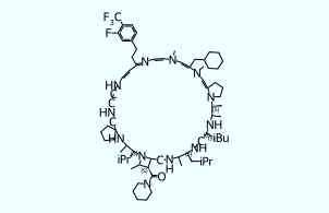 CC[C@H](C)[C@H]1CN[C@@H](CC(C)C)C(C)NCC2[C@@H](C(=O)N3CCCCC3)C(C)N2[C@@H](C(C)C)C(C)NC2(CCCC2)CNCCNC=CC(CCc2ccc(C(F)(F)F)c(F)c2)=NC=CN(C)C=C(CC2CCCCC2)N(C)C=C2CCCN2[C@@H](C)C(C)N1